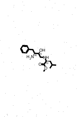 COC(=O)[C@H](CC(C)C)NC[C@H](O)[C@H](N)Cc1ccccc1